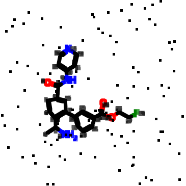 CC(N)c1ccc(C(=O)Nc2ccncc2)cc1-c1cccc(C(=O)OCCF)c1